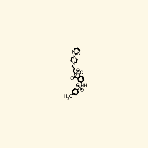 Cc1ccc(S(=O)(=O)Nc2ccc3c(c2)C(=O)N(CCCN2CCN(c4ncccn4)CC2)S3(=O)=O)cc1